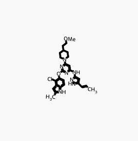 C/C=C/c1cc(Nc2cc(N3CCC(CCOC)CC3)nc(Oc3ccc4[nH]c(C)cc4c3Cl)n2)n[nH]1